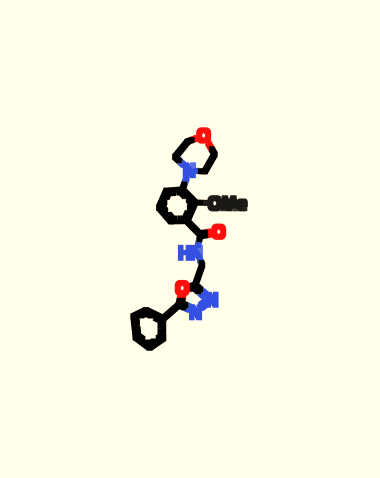 COc1c(C(=O)NCc2nnc(-c3ccccc3)o2)cccc1N1CCOCC1